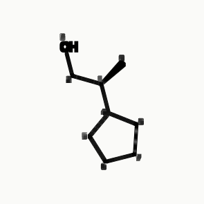 C[C@H](CO)C1CCCC1